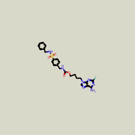 Nc1nc(F)nc2c1ncn2CCCCOC(=O)NCc1ccc(S(=O)(=O)NCc2ccccc2)cc1